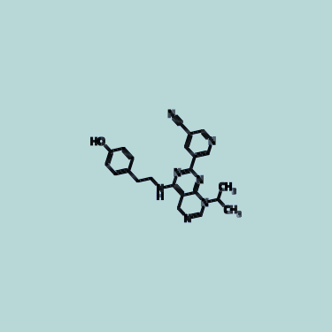 CC(C)N1C=NCc2c(NCCc3ccc(O)cc3)nc(-c3cncc(C#N)c3)nc21